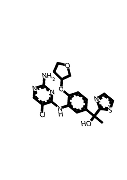 CC(O)(c1ccc(OC2CCOC2)c(Nc2nc(N)ncc2Cl)c1)c1nccs1